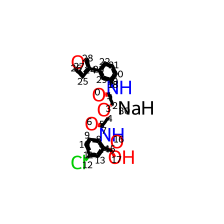 O=C(COCC(=O)Nc1ccc(Cl)cc1C(=O)O)Nc1cccc(-c2ccoc2)c1.[NaH]